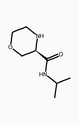 CC(C)NC(=O)[C@H]1COCCN1